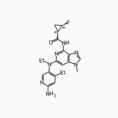 CCc1cc(N)ncc1N(CC)c1cc2c(ncn2C)c(NC(=O)[C@H]2C[C@H]2F)n1